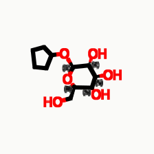 OC[C@H]1O[C@@H](OC2CCCC2)[C@H](O)[C@@H](O)[C@@H]1O